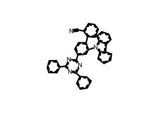 N#Cc1ccccc1-c1ccc(-c2nc(-c3ccccc3)nc(-c3ccccc3)n2)cc1-n1c2ccccc2c2ccccc21